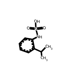 CC(C)c1ccccc1NS(=O)(=O)O